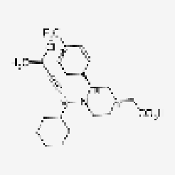 C=C(C)C#C[C@@H](C1CCCCC1)N1CC[C@H](CC(=O)O)C[C@@H]1C1C=CC(C(F)(F)F)=CC1